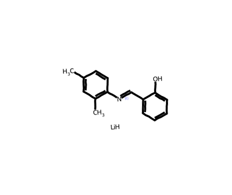 Cc1ccc(/N=C/c2ccccc2O)c(C)c1.[LiH]